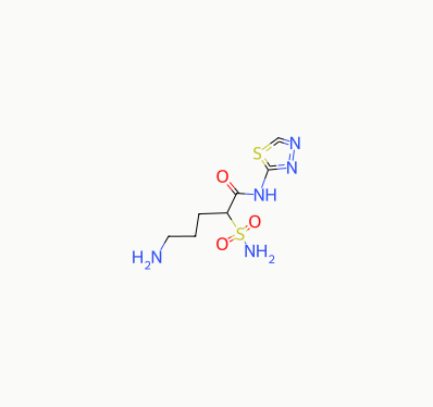 NCCCC(C(=O)Nc1nncs1)S(N)(=O)=O